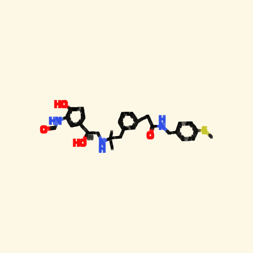 CSc1ccc(CNC(=O)Cc2cccc(CC(C)(C)NC[C@@H](O)c3ccc(O)c(NC=O)c3)c2)cc1